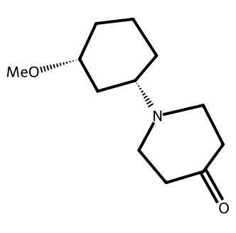 CO[C@@H]1CCC[C@H](N2CCC(=O)CC2)C1